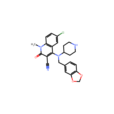 Cn1c(=O)c(C#N)c(N(Cc2ccc3c(c2)OCO3)C2CCNCC2)c2cc(Cl)ccc21